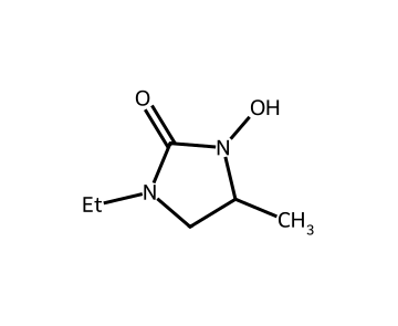 CCN1CC(C)N(O)C1=O